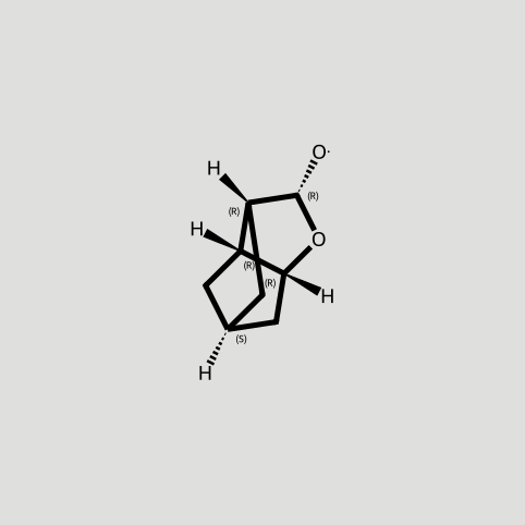 [O][C@@H]1O[C@@H]2C[C@@H]3C[C@@H]1[C@H]2C3